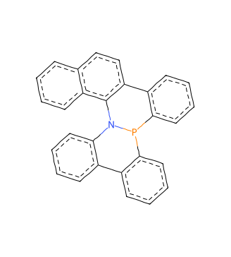 c1ccc2c(c1)-c1ccccc1P1c3ccccc3-c3ccc4ccccc4c3N21